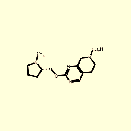 CN1CCC[C@H]1COc1ncc2c(n1)CN(C(=O)O)CC2